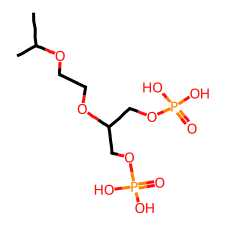 CC(C)OCCOC(COP(=O)(O)O)COP(=O)(O)O